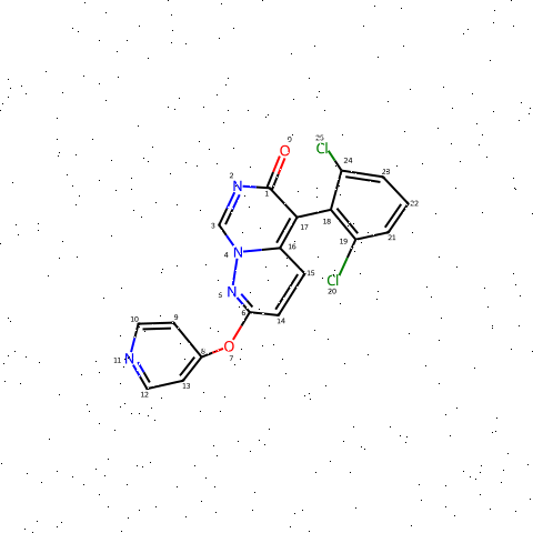 O=c1ncn2nc(Oc3ccncc3)ccc2c1-c1c(Cl)cccc1Cl